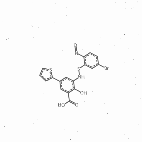 O=Nc1ccc(Br)cc1SNc1cc(-c2cccs2)cc(C(=O)O)c1O